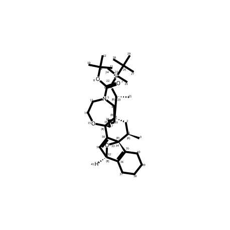 C[C@@H]1C[C@@]23CN(C(=O)OC(C)(C)C)CCO[C@@]2(CC=C3[C@@H](C)O[Si](C)(C)C(C)(C)C)C2=C[C@H]3O[C@]21C1=C3CCCC1